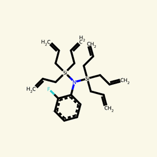 C=CC[Si](CC=C)(CC=C)N(c1ccc[c]c1F)[Si](CC=C)(CC=C)CC=C